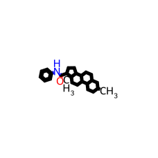 CC1CCC2C(CCC3C2CCC2(C)C(C(=O)Nc4ccccc4)CCC32)C1